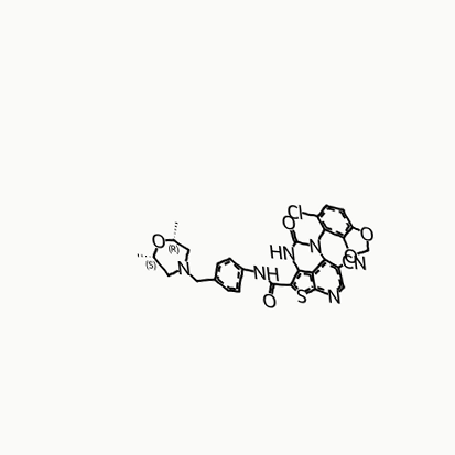 C[C@@H]1CN(Cc2ccc(NC(=O)c3sc4ncc(C#N)c5c4c3NC(=O)N5c3c(Cl)ccc4c3OCO4)cc2)C[C@H](C)O1